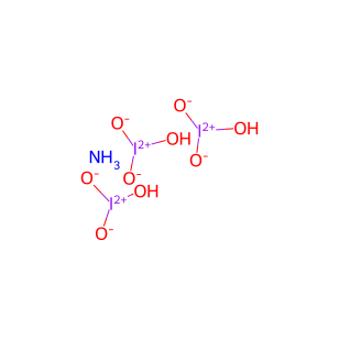 N.[O-][I+2]([O-])O.[O-][I+2]([O-])O.[O-][I+2]([O-])O